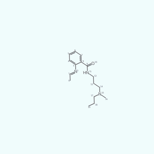 C/C=N/c1ccccc1C(=O)NCCCN(C)CCC